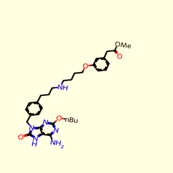 CCCCOc1nc(N)c2[nH]c(=O)n(Cc3ccc(CCCNCCCCOc4cccc(CC(=O)OC)c4)cc3)c2n1